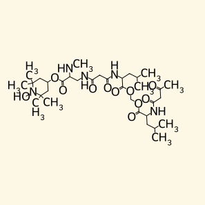 CNC(CNC(=O)CC(=O)NC(CC(C)C)C(=O)OCOC(=O)C(CC(C)C)NC(=O)CC(C)=O)C(=O)OC1CC(C)(C)N(O)C(C)(C)C1